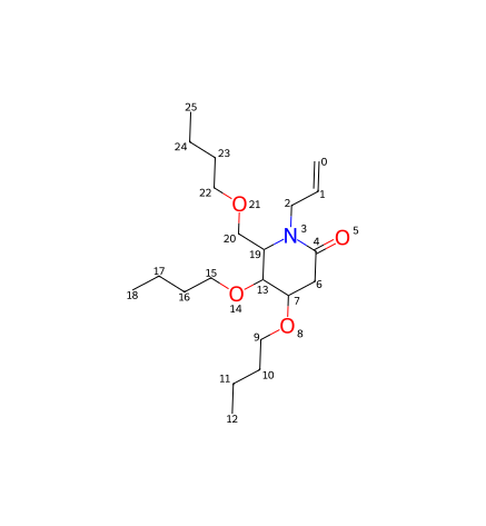 C=CCN1C(=O)CC(OCCCC)C(OCCCC)C1COCCCC